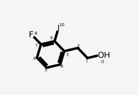 OCCc1cccc(F)c1I